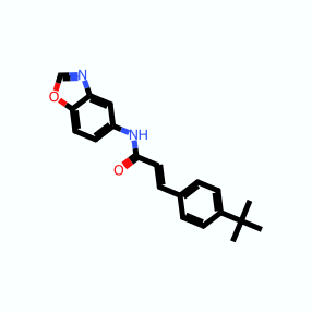 CC(C)(C)c1ccc(C=CC(=O)Nc2ccc3ocnc3c2)cc1